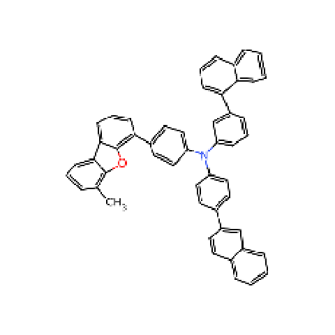 Cc1cccc2c1oc1c(-c3ccc(N(c4ccc(-c5ccc6ccccc6c5)cc4)c4cccc(-c5cccc6ccccc56)c4)cc3)cccc12